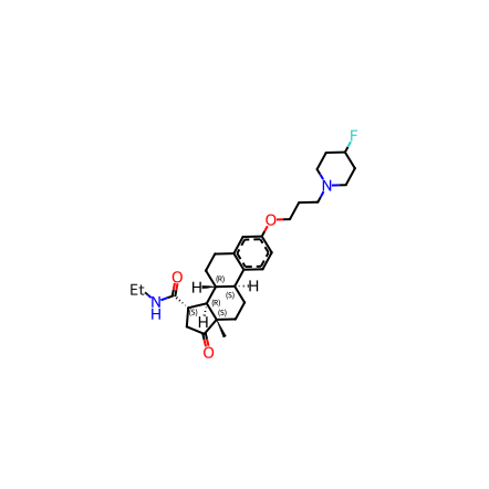 CCNC(=O)[C@H]1CC(=O)[C@@]2(C)CC[C@@H]3c4ccc(OCCCN5CCC(F)CC5)cc4CC[C@H]3[C@H]12